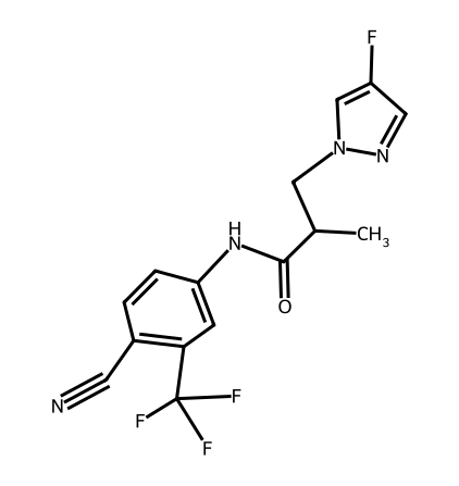 CC(Cn1cc(F)cn1)C(=O)Nc1ccc(C#N)c(C(F)(F)F)c1